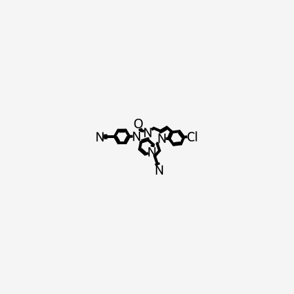 N#CCCCn1c(Cn2c(=O)n(-c3ccc(C#N)cc3)c3ccncc32)cc2cc(Cl)ccc21